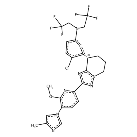 COc1nc(-c2nc3n(n2)CCC[C@H]3c2cc(N(CC(F)(F)F)CC(F)(F)F)ccc2Cl)ccc1-n1cnc(C)c1